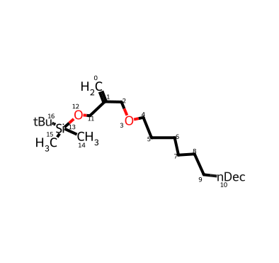 C=C(COCCCCCCCCCCCCCCCC)CO[Si](C)(C)C(C)(C)C